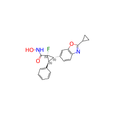 O=C(NO)[C@]1(F)[C@H](c2ccccc2)[C@H]1c1ccc2nc(C3CC3)oc2c1